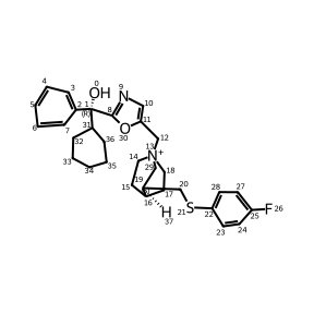 O[C@](c1ccccc1)(c1ncc(C[N+]23CCC(CC2)[C@H](CSc2ccc(F)cc2)C3)o1)C1CCCCC1